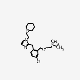 CN(C)CCOCc1cc(Cl)ccc1Cc1nccn1CCN1CCCCC1